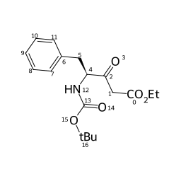 CCOC(=O)CC(=O)[C@H](Cc1ccccc1)NC(=O)OC(C)(C)C